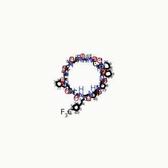 CC[C@H](C)[C@@H]1NC(=O)[C@H](C)N(C)C(=O)C[C@@H](C(=O)N2CCCCC2)N(C)C(=O)[C@H](C2CCCCC2)N(C)C(=O)C2(CCCC2)NC(=O)[C@@H]2CCCN2C(=O)[C@H](CCCc2ccc(C(F)(F)F)cc2)NC(=O)CN(C)C(=O)[C@@H](CC2CCCCC2)N(C)C(=O)CN(C)C(=O)CN(C)C1=O